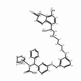 O=C(O)N(C(c1ccccc1)c1cccc(OCc2cccc(OCCCCNCC(O)c3ccc(O)c4[nH]c(=O)ccc34)c2)c1)C1CN2CCC1CC2